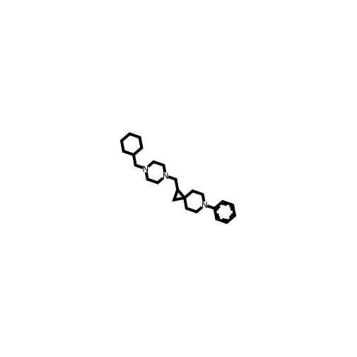 c1ccc(N2CCC3(CC2)CC3CN2CCN(CC3CCCCC3)CC2)cc1